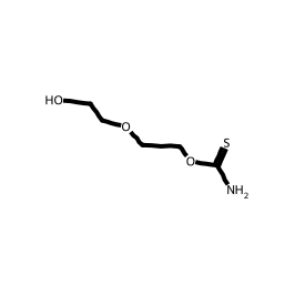 NC(=S)OCCOCCO